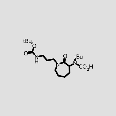 CC(C)(C)OC(=O)NCCCN1CCCCC(N(C(=O)O)C(C)(C)C)C1=O